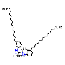 CCCCCCCCCCCCCCCCCCCCCCc1cccc(/N=C(CCCCC)\C(CCCCCC)=N\c2cccc(CCCCCCCCCCCCCCCCCCCCCC)c2)c1.[Pd]